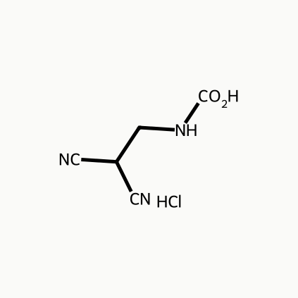 Cl.N#CC(C#N)CNC(=O)O